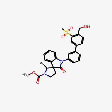 CC(C)C1N(C(=O)OC(C)(C)C)CCC12C(=O)N(c1cccc(-c3ccc(CO)c(S(C)(=O)=O)c3)c1)c1ccccc12